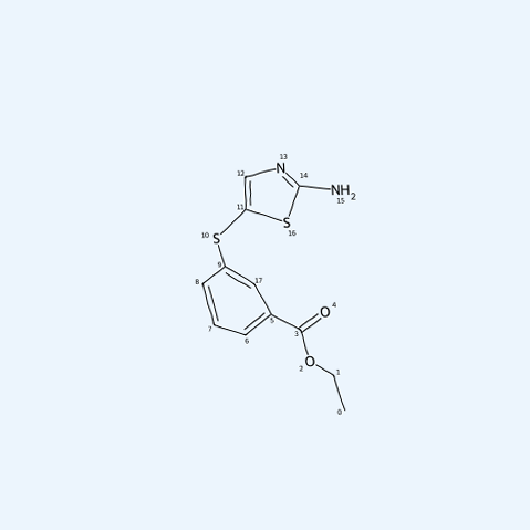 CCOC(=O)c1cccc(Sc2cnc(N)s2)c1